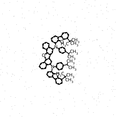 CC(C)c1ccc(N(c2cc3c4cc(N(c5ccc(C(C)C)cc5)c5cccc6c5oc5c(C(C)(C)C)cccc56)c5ccccc5c4oc3c3ccccc23)c2cccc3c2oc2c(C(C)(C)C)cccc23)cc1